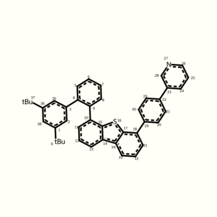 CC(C)(C)c1cc(-c2ccccc2-c2cccc3c2sc2c(-c4ccc(-c5cccnc5)cc4)cccc23)cc(C(C)(C)C)c1